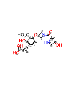 O=C(O)c1c(OC2CN(C(=O)[C@@H]3C[C@@H](O)CN3)C2)ccc([C@H]2C[C@H]2B(O)O)c1O